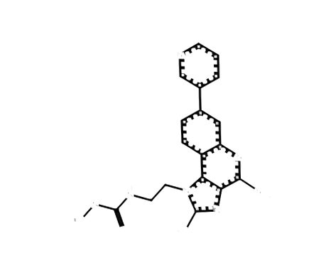 CCCCc1nc2c(N)nc3cc(-c4cccnc4)ccc3c2n1CCNC(=O)NC(C)C